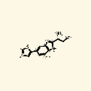 CC(C)C[C@@H](N)c1nc2cc(-c3cnco3)ccc2[nH]1.Cl